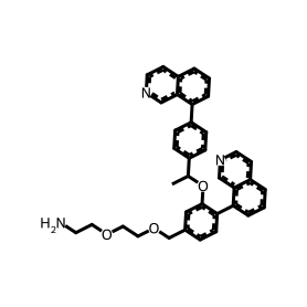 CC(Oc1cc(COCCOCCN)ccc1-c1cccc2ccncc12)c1ccc(-c2cccc3ccncc23)cc1